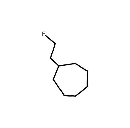 FCCC1CCCCCC1